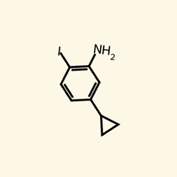 Nc1cc(C2CC2)ccc1I